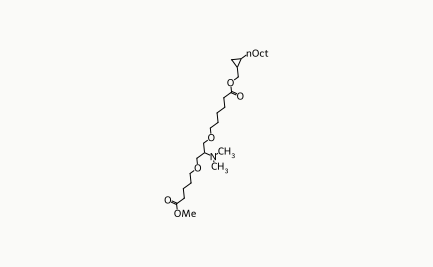 CCCCCCCCC1CC1COC(=O)CCCCCOCC(COCCCCC(=O)OC)N(C)C